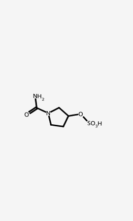 NC(=O)N1CCC(OS(=O)(=O)O)C1